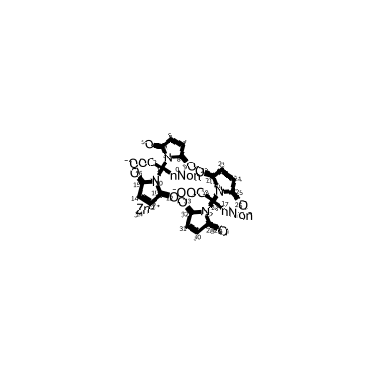 CCCCCCCCCC(C(=O)[O-])(N1C(=O)C=CC1=O)N1C(=O)C=CC1=O.CCCCCCCCCC(C(=O)[O-])(N1C(=O)C=CC1=O)N1C(=O)C=CC1=O.[Zn+2]